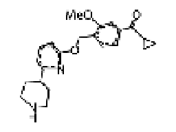 COc1cc(C(=O)C2CC2)ccc1COc1cccc(C2CCNCC2)n1